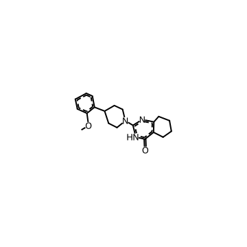 COc1ccccc1C1CCN(c2nc3c(c(=O)[nH]2)CCCC3)CC1